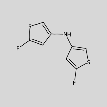 Fc1cc(Nc2csc(F)c2)cs1